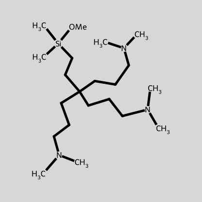 CO[Si](C)(C)CCC(CCCN(C)C)(CCCN(C)C)CCCN(C)C